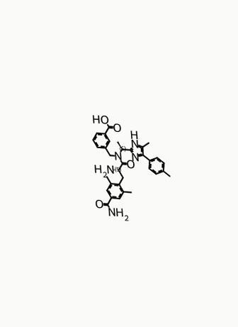 Cc1ccc(-c2nc([C@H](C)N(Cc3cccc(C(=O)O)c3)C(=O)[C@@H](N)Cc3c(C)cc(C(N)=O)cc3C)[nH]c2C)cc1